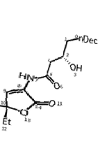 CCCCCCCCCCC[C@H](O)CC(=O)NC1=C[C@](C)(CC)OC1=O